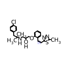 Cc1nnc(/C=C\c2ccccc2OCC(O)CNC(C)(C)Cc2ccc(Cl)cc2)s1